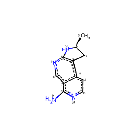 C[C@H]1Cc2c(ncc3c(N)nccc23)N1